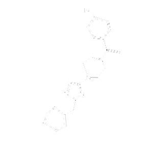 CC(C)(C)c1ccc(C(=O)N2CCN(c3nc(Cc4ccc(F)cc4)ns3)CC2)cc1